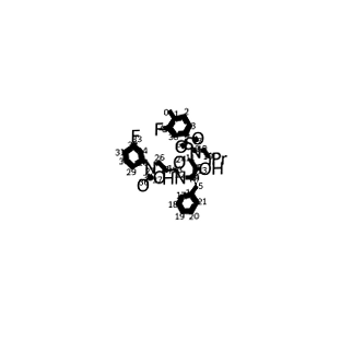 Cc1ccc(S(=O)(=O)N(CC(C)C)C[C@@H](O)[C@H](Cc2ccccc2)NC(=O)[C@@H]2CN(c3cccc(F)c3)C(=O)O2)cc1F